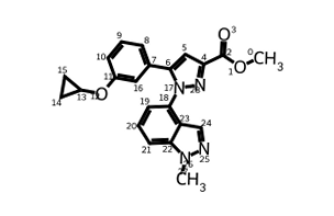 COC(=O)c1cc(-c2cccc(OC3CC3)c2)n(-c2cccc3c2cnn3C)n1